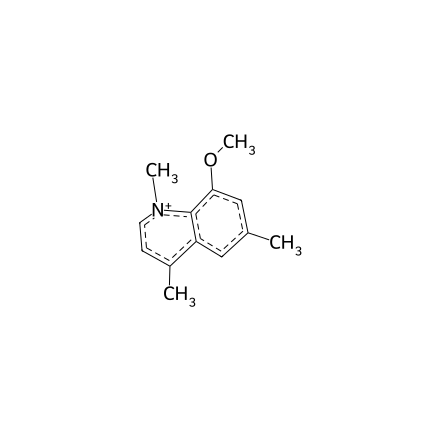 COc1cc(C)cc2c(C)cc[n+](C)c12